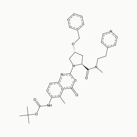 Cc1c(NC(=O)OC(C)(C)C)ccc2nc(N3C[C@H](OCc4ccccc4)C[C@H]3C(=O)N(C)CCc3ccncc3)oc(=O)c12